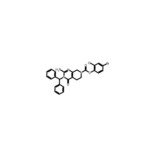 Nc1nc2c(c(=O)n1C(c1ccccc1)c1ccccc1)CCN(C(=O)Oc1ccc(Br)cc1Cl)C2